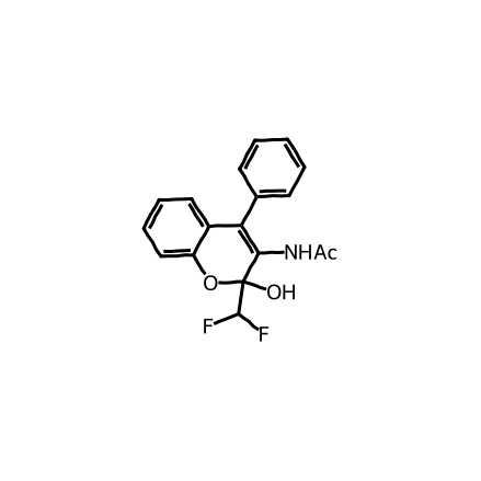 CC(=O)NC1=C(c2ccccc2)c2ccccc2OC1(O)C(F)F